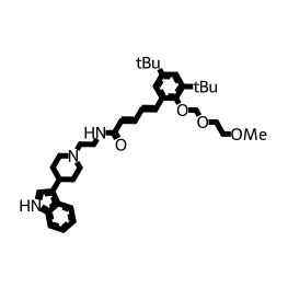 COCCOCOc1c(/C=C/C=C/C(=O)NCCN2CCC(c3c[nH]c4ccccc34)CC2)cc(C(C)(C)C)cc1C(C)(C)C